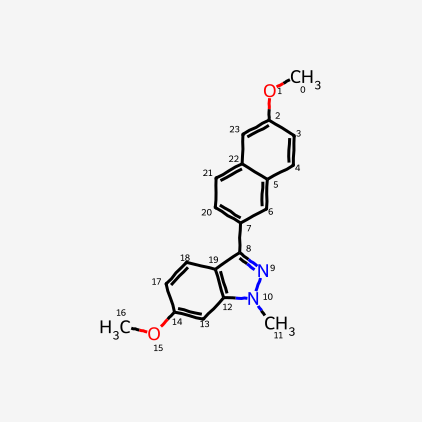 COc1ccc2cc(-c3nn(C)c4cc(OC)ccc34)ccc2c1